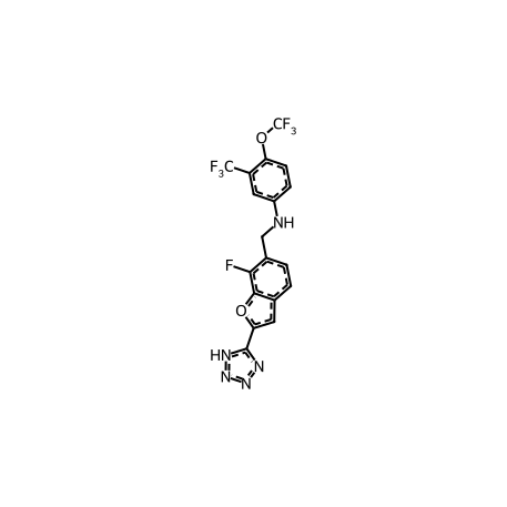 Fc1c(CNc2ccc(OC(F)(F)F)c(C(F)(F)F)c2)ccc2cc(-c3nnn[nH]3)oc12